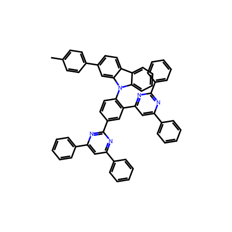 Cc1ccc(-c2ccc3c4ccccc4n(-c4ccc(-c5nc(-c6ccccc6)cc(-c6ccccc6)n5)cc4-c4cc(-c5ccccc5)nc(-c5ccccc5)n4)c3c2)cc1